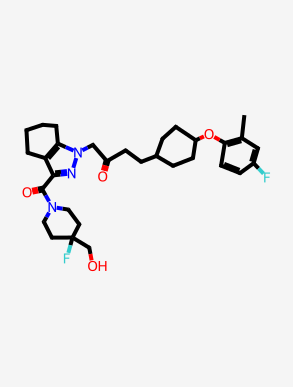 Cc1cc(F)ccc1OC1CCC(CCC(=O)Cn2nc(C(=O)N3CCC(F)(CO)CC3)c3c2CCCC3)CC1